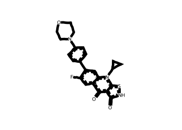 O=c1[nH]sc2c1c(=O)c1cc(F)c(-c3ccc(N4CCOCC4)cc3)cc1n2C1CC1